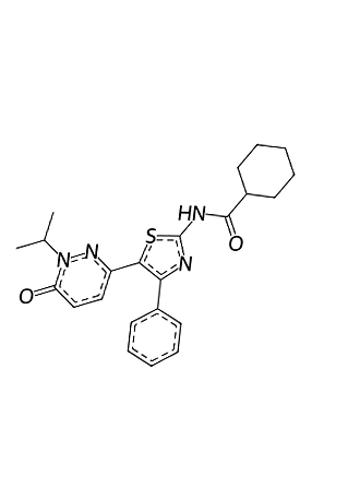 CC(C)n1nc(-c2sc(NC(=O)C3CCCCC3)nc2-c2ccccc2)ccc1=O